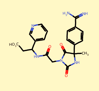 CC1(c2ccc(C(=N)N)cc2)NC(=O)N(CC(=O)NC(CC(=O)O)c2cccnc2)C1=O